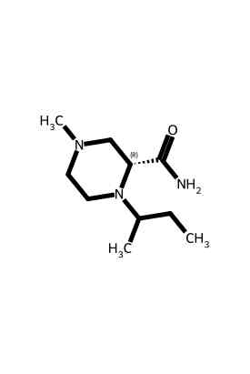 CCC(C)N1CCN(C)C[C@@H]1C(N)=O